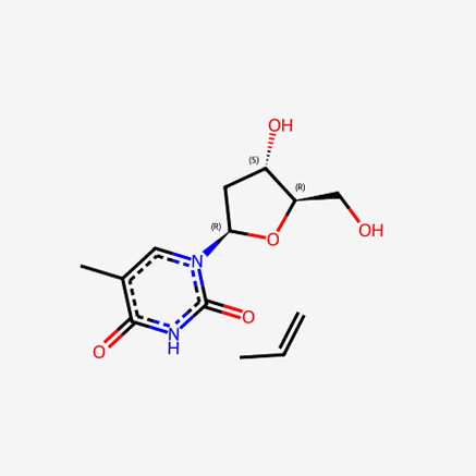 C=CC.Cc1cn([C@H]2C[C@H](O)[C@@H](CO)O2)c(=O)[nH]c1=O